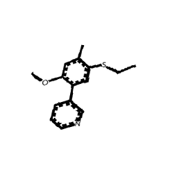 CCSc1cc(-c2cccnc2)c(OC)cc1C